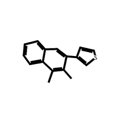 Cc1c(-c2ccsc2)cc2ccccc2c1C